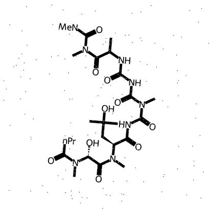 CCCC(=O)N(C)[C@H](O)C(=O)N(C)[C@@H](CC(C)(C)O)C(=O)NC(=O)N(C)C(=O)NC(=O)NC(C)C(=O)N(C)C(=O)NC